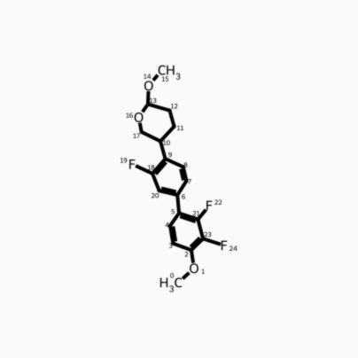 COc1ccc(-c2ccc(C3CCC(OC)OC3)c(F)c2)c(F)c1F